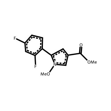 COC(=O)c1cc(-c2ccc(F)cc2F)n(OC)c1